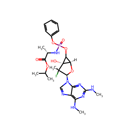 CNc1nc(NC)c2ncn([C@@H]3O[C@@H]4C(OP(=O)(N[C@@H](C)C(=O)OC(C)C)Oc5ccccc5)[C@]4(O)[C@@]3(C)F)c2n1